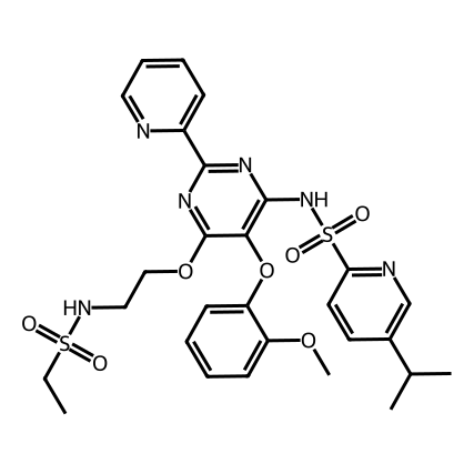 CCS(=O)(=O)NCCOc1nc(-c2ccccn2)nc(NS(=O)(=O)c2ccc(C(C)C)cn2)c1Oc1ccccc1OC